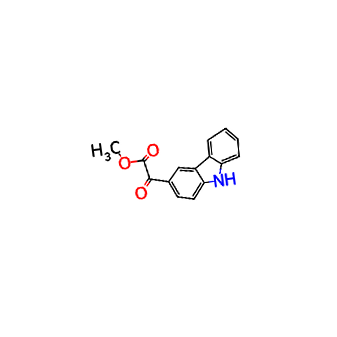 COC(=O)C(=O)c1ccc2[nH]c3ccccc3c2c1